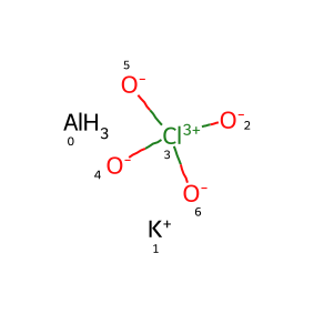 [AlH3].[K+].[O-][Cl+3]([O-])([O-])[O-]